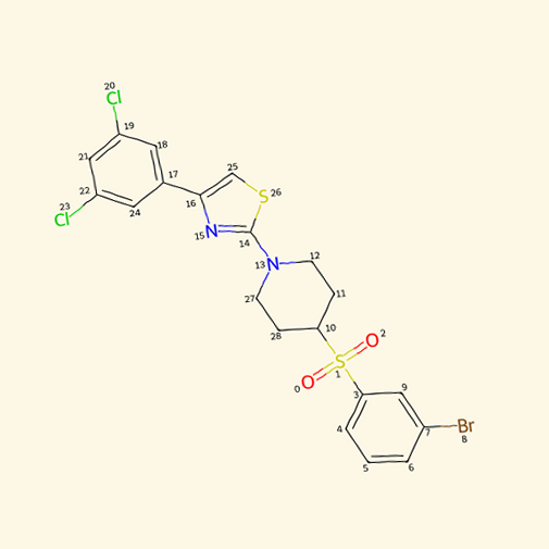 O=S(=O)(c1cccc(Br)c1)C1CCN(c2nc(-c3cc(Cl)cc(Cl)c3)cs2)CC1